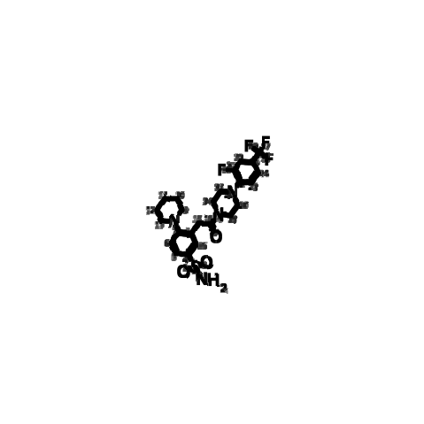 NS(=O)(=O)c1ccc(N2CCCCC2)c(CC(=O)N2CCN(c3ccc(C(F)(F)F)cc3F)CC2)c1